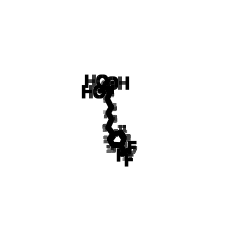 O[Si](O)(O)CCCCCCc1ccc(C(F)(F)F)cc1